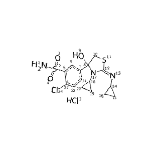 Cl.NS(=O)(=O)c1cc(C2(O)CSC(=NC3CC3)N2C2CC2)ccc1Cl